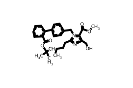 CCCCc1nc(CO)c(C(=O)OC)n1Cc1ccc(-c2ccccc2C(=O)OC(C)(C)C)cc1